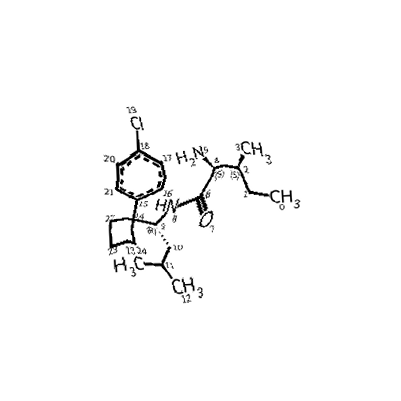 CC[C@H](C)[C@H](N)C(=O)N[C@H](CC(C)C)C1(c2ccc(Cl)cc2)CCC1